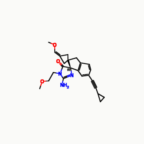 COC=C1CC2(C1)Cc1ccc(C#CC3CC3)cc1[C@@]21N=C(N)N(CCOC)C1=O